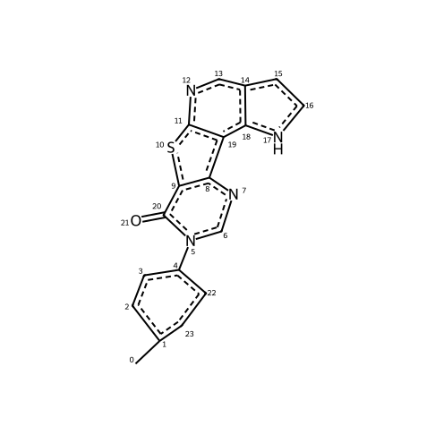 Cc1ccc(-n2cnc3c(sc4ncc5cc[nH]c5c43)c2=O)cc1